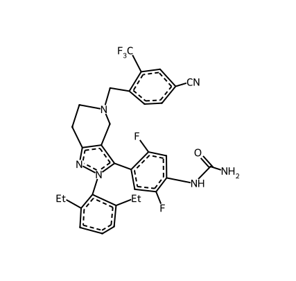 CCc1cccc(CC)c1-n1nc2c(c1-c1cc(F)c(NC(N)=O)cc1F)CN(Cc1ccc(C#N)cc1C(F)(F)F)CC2